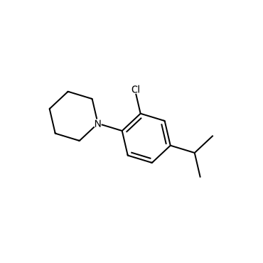 CC(C)c1ccc(N2CCCCC2)c(Cl)c1